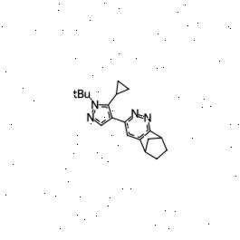 CC(C)(C)n1ncc(-c2cc3c(nn2)C2CCC3C2)c1C1CC1